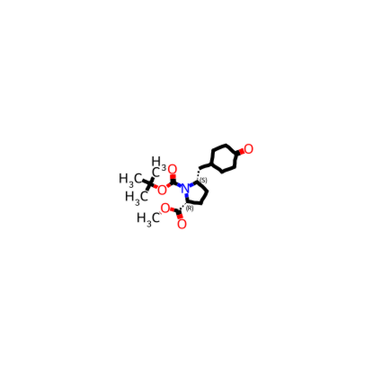 COC(=O)[C@H]1CC[C@@H](CC2CCC(=O)CC2)N1C(=O)OC(C)(C)C